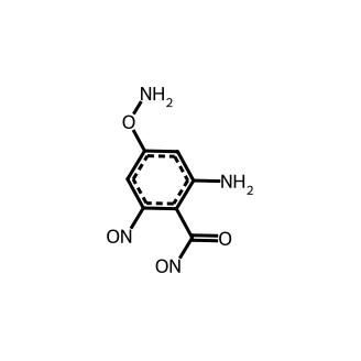 NOc1cc(N)c(C(=O)N=O)c(N=O)c1